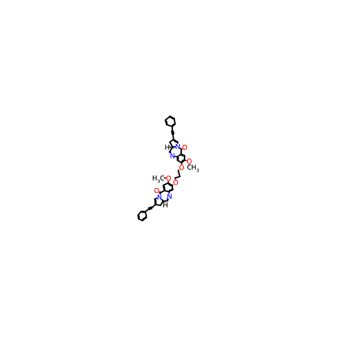 COc1cc2c(cc1OCCCOc1cc3c(cc1OC)C(=O)N1C=C(C#Cc4ccccc4)C[C@H]1C=N3)N=C[C@@H]1CC(C#Cc3ccccc3)=CN1C2=O